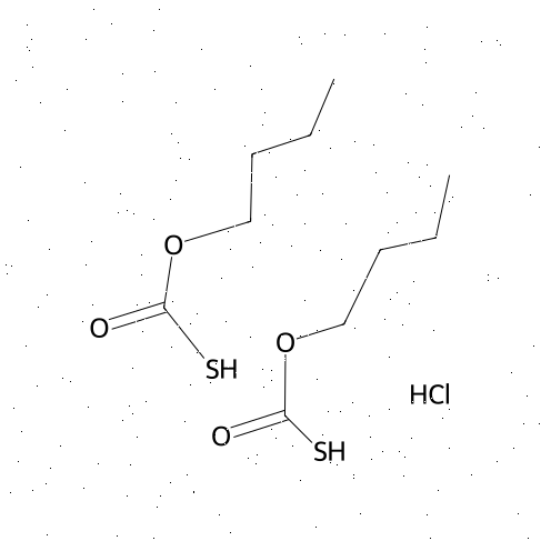 CCCCOC(=O)S.CCCCOC(=O)S.Cl